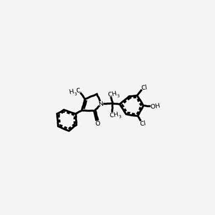 CC1=C(c2ccccc2)C(=O)N(C(C)(C)c2cc(Cl)c(O)c(Cl)c2)C1